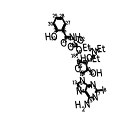 CCN(CC)CC.Nc1nc(I)nc2c1ncn2[C@@H]1O[C@H](COS(=O)(=O)NC(=O)c2ccccc2O)[C@@H](O)[C@H]1O